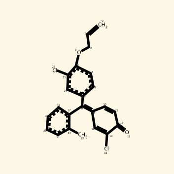 C=CCOc1ccc(/C(=C2\C=CC(=O)C(Cl)=C2)c2ccccc2C)cc1Cl